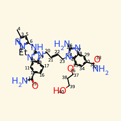 CCn1nc(C)cc1Nc1nc2cc(C(N)=O)ccc2n1C/C=C/Cn1c(N)nc2cc(C(N)=O)cc(OCCCO)c21